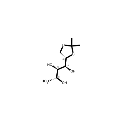 CC1(C)OC[C@@H]([C@@H](O)[C@H](O)[C@H](O)C(=O)O)O1